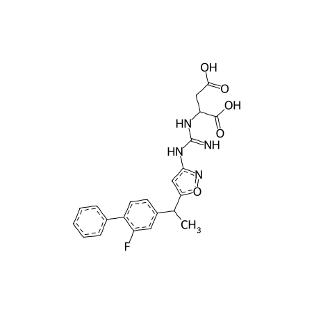 CC(c1ccc(-c2ccccc2)c(F)c1)c1cc(NC(=N)NC(CC(=O)O)C(=O)O)no1